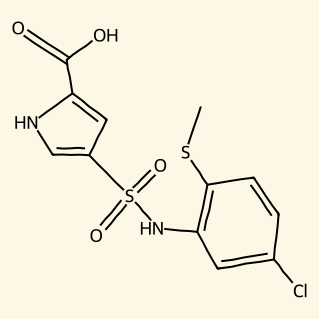 CSc1ccc(Cl)cc1NS(=O)(=O)c1c[nH]c(C(=O)O)c1